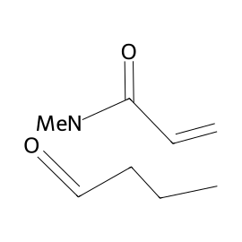 C=CC(=O)NC.CCCC=O